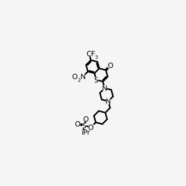 CC(C)S(=O)(=O)OC1CCC(CN2CCN(c3cc(=O)c4cc(C(F)(F)F)cc([N+](=O)[O-])c4s3)CC2)CC1